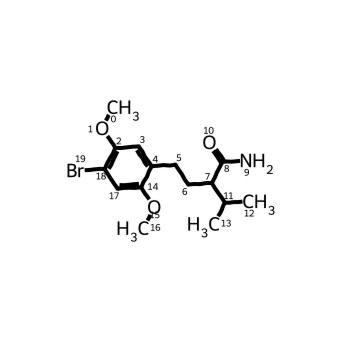 COc1cc(CCC(C(N)=O)C(C)C)c(OC)cc1Br